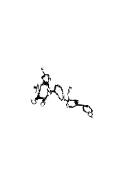 Cn1c(=O)c(=O)n(C2CCN(c3ncc(C4=CCOC4)cc3F)CC2)c2ncc(F)cc21